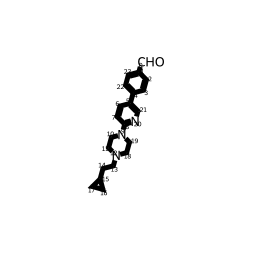 O=Cc1ccc(-c2ccc(N3CCN(CCC4CC4)CC3)nc2)cc1